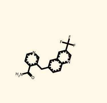 NC(=O)c1ccncc1Cc1ccc2ncc(C(F)(F)F)cc2c1